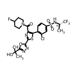 C[C@H](NS(=O)(=O)c1ccc(-c2sc(-c3nnc(C(C)(C)O)o3)nc2C(=O)N2CCC(F)CC2)c(Cl)c1)C(F)(F)F